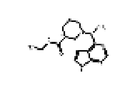 CN(c1ncnc2[nH]ccc12)N1CCC[C@H](C(=O)NCC#N)C1